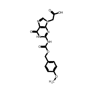 COc1ccc(COC(=O)Nc2nc3c(ncn3CC(=O)O)c(=O)[nH]2)cc1